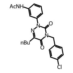 CCCCc1nn(-c2cccc(NC(C)=O)c2)c(=O)n(Cc2ccc(Cl)cc2)c1=O